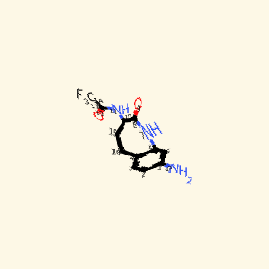 Nc1ccc2c(c1)NC(=O)C(NC(=O)C(F)(F)F)CC2